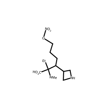 CCC(NC)(C(=O)O)C(CCCO[N+](=O)[O-])C1CNC1